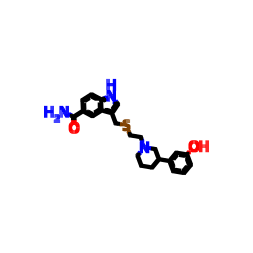 NC(=O)c1ccc2[nH]cc(CSCCN3CCCC(c4cccc(O)c4)C3)c2c1